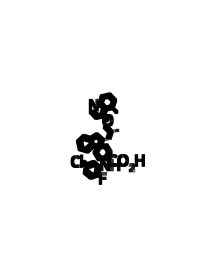 C[C@@H](COc1ccnc2c1[C@H](C)CCC2)C[C@H]1Cc2ccccc2C12CCC(Nc1cc(Cl)ccc1F)(C(=O)O)CC2